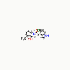 C[C@H]1c2cccc([C@H](O)C(F)(F)F)c2CCN1C(=O)Cc1c(Cl)ccc2[nH]ccc12